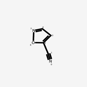 N#Cc1ccno1